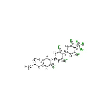 CC(C)Cc1ccc(-c2cc(F)c(-c3cc(F)c(C(F)(F)Br)c(F)c3)c(F)c2)c(F)c1